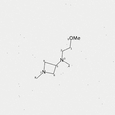 COCCN(C)C1CN(C)C1